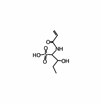 C=CC(=O)NC(C(O)CC)S(=O)(=O)O